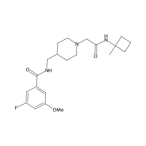 COc1cc(F)cc(C(=O)NCC2CCN(CC(=O)NC3(C)CCC3)CC2)c1